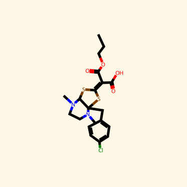 CCCOC(=O)C(C(=O)O)=C1SC2N(C)CCN(C)C2(Cc2ccc(Cl)cc2)S1